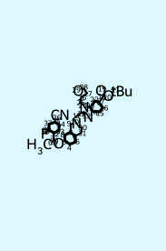 C[C@@H](Oc1ccc2c(c1)CN(Cc1nc3ccc(C(=O)OC(C)(C)C)cc3n1CC1CCO1)CC2)c1ccc(C#N)cc1F